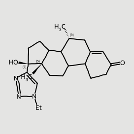 CCn1cc([C@]2(O)CCC3C4C(CC[C@@]32C)C2CCC(=O)C=C2C[C@H]4C)nn1